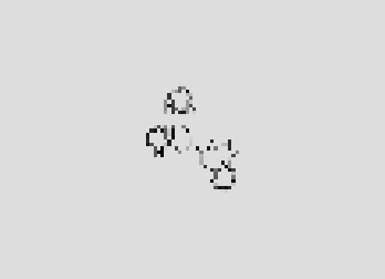 NC(Cc1ncccn1)C(CCc1ncccn1)Cc1ncccn1